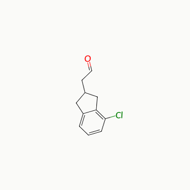 O=CCC1Cc2cccc(Cl)c2C1